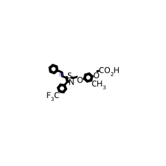 Cc1cc(OCc2nc(-c3ccc(C(F)(F)F)cc3)c(/C=C/c3ccccc3)s2)ccc1OCC(=O)O